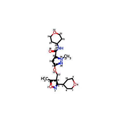 Cc1onc(C2CCOCC2)c1COc1cc(C(=O)NC2CCOCC2)n(C)n1